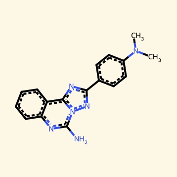 CN(C)c1ccc(-c2nc3c4ccccc4nc(N)n3n2)cc1